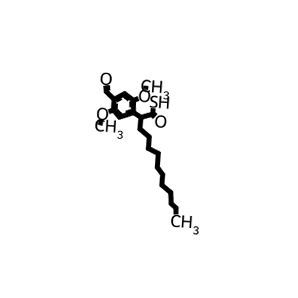 CCCCCCCCCCCC(C(=O)S)c1cc(OC)c(C=O)cc1OC